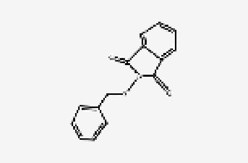 O=C1c2ccccc2C(=O)N1SCc1ccccc1